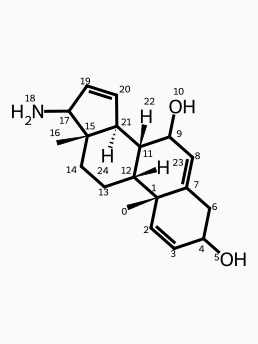 C[C@]12C=CC(O)CC1=CC(O)[C@@H]1[C@H]2CC[C@]2(C)C(N)C=C[C@@H]12